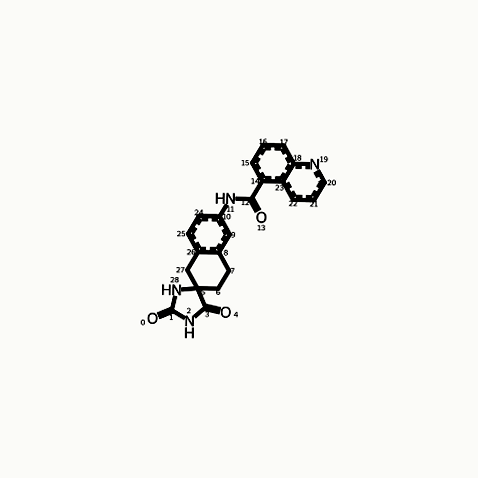 O=C1NC(=O)C2(CCc3cc(NC(=O)c4cccc5ncccc45)ccc3C2)N1